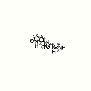 O=C1CSc2ccc(N3CC(CNC4CNC4)OC3=O)cc2N1